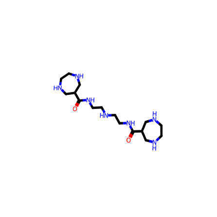 O=C(NCCNCCNC(=O)C1CNCCNC1)C1CNCCNC1